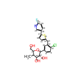 CC1C(CO)OC(c2ccc(Cl)c(Cc3ccc(-c4ccc(F)nc4)s3)c2)[C@H](O)C1O